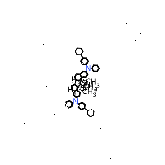 C[Si](C)(C)C1([Si](C)(C)C)c2c(ccc3cc(N(c4ccccc4)c4ccc(C5CCCCC5)cc4)ccc23)-c2ccc3cc(N(c4ccccc4)c4ccc(C5CCCCC5)cc4)ccc3c21